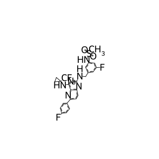 CS(=O)(=O)Nc1cc(F)cc(CNc2nc(NC3(C(F)(F)F)CC3)c3nc(-c4ccc(F)cc4)ccc3n2)c1